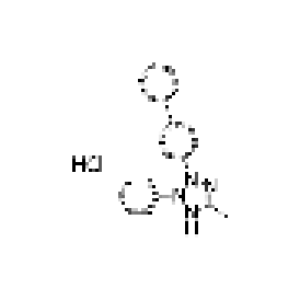 CC1=NN(c2ccc(-c3ccccc3)cc2)N(c2ccccc2)N1.Cl